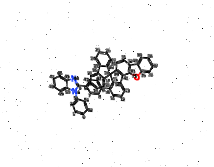 c1ccc(-n2c(-c3ccc(-c4cccc5c4C4(c6ccccc6-c6ccccc64)c4ccc6c(oc7ccccc76)c4-5)cc3)nc3ccccc32)cc1